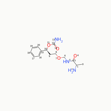 CC(N)C(=O)NCOCC[C@H](OC(N)=O)c1ccccc1